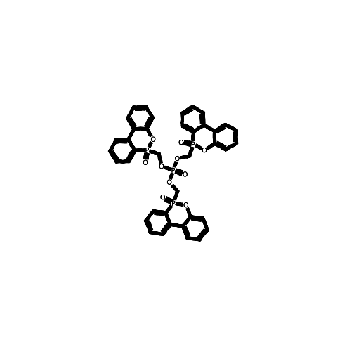 O=P(OCP1(=O)Oc2ccccc2-c2ccccc21)(OCP1(=O)Oc2ccccc2-c2ccccc21)OCP1(=O)Oc2ccccc2-c2ccccc21